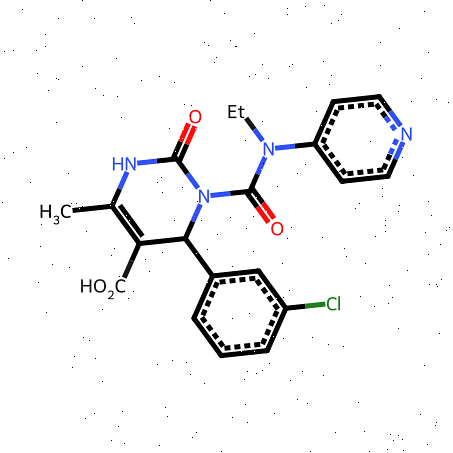 CCN(C(=O)N1C(=O)NC(C)=C(C(=O)O)C1c1cccc(Cl)c1)c1ccncc1